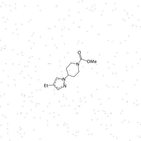 CCc1cnn(C2CCN(C(=O)OC)CC2)c1